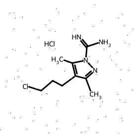 Cc1nn(C(=N)N)c(C)c1CCCCl.Cl